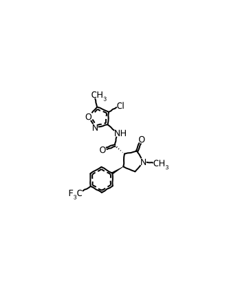 Cc1onc(NC(=O)[C@@H]2C(=O)N(C)C[C@H]2c2ccc(C(F)(F)F)cc2)c1Cl